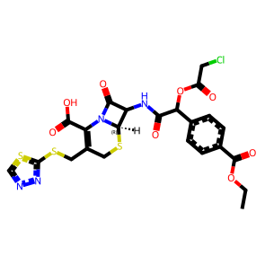 CCOC(=O)c1ccc(C(OC(=O)CCl)C(=O)NC2C(=O)N3C(C(=O)O)=C(CSc4nncs4)CS[C@H]23)cc1